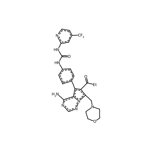 CCC(=O)c1c(-c2ccc(NC(=O)Nc3cc(C(F)(F)F)ccn3)cc2)c2c(N)ncnn2c1CN1CCOCC1